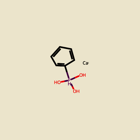 O[PH](O)(O)c1ccccc1.[Ca]